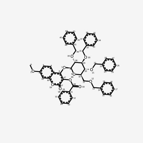 COc1ccc2c(O[C@@H]3O[C@H](COCc4ccccc4)[C@@H](OCc4ccccc4)[C@H](OCc4ccccc4)[C@H]3OCc3ccccc3)c(OC(=O)c3ccccc3)c(=O)oc2c1